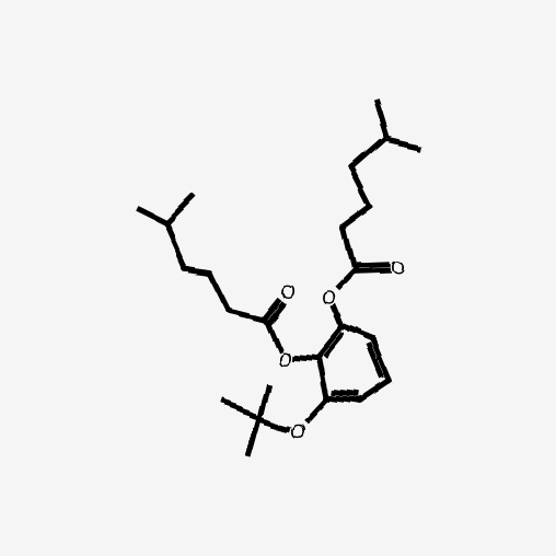 CC(C)CCCC(=O)Oc1cccc(OC(C)(C)C)c1OC(=O)CCCC(C)C